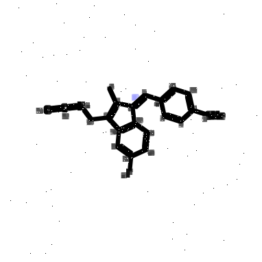 CSc1ccc(/C=C2/C(C)=C(CN=C=O)c3cc(F)ccc32)cc1